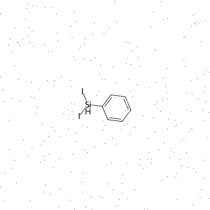 I[SiH](I)c1ccccc1